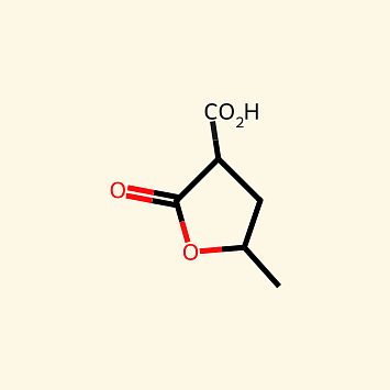 CC1CC(C(=O)O)C(=O)O1